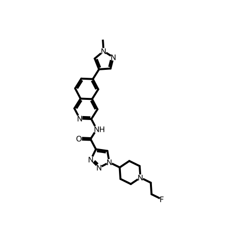 Cn1cc(-c2ccc3cnc(NC(=O)c4cn(C5CCN(CCF)CC5)nn4)cc3c2)cn1